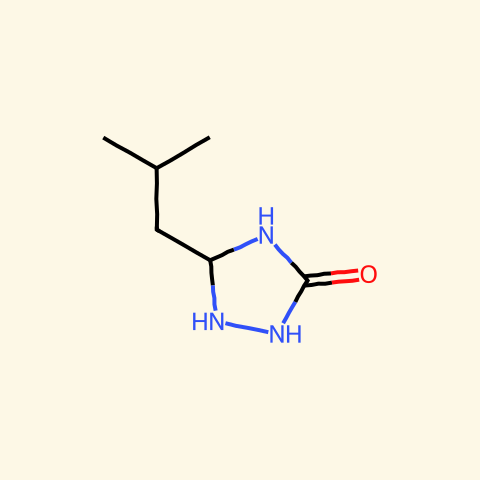 CC(C)CC1NNC(=O)N1